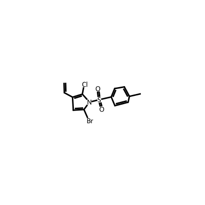 C=Cc1cc(Br)n(S(=O)(=O)c2ccc(C)cc2)c1Cl